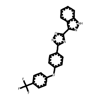 FC(F)(F)c1ccc(Oc2ccc(-c3noc(-c4n[nH]c5ccccc45)n3)cc2)cc1